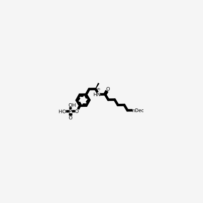 CCCCCCCCCCCCCCCC(=O)N[C@H](C)Cc1ccc(OP(=O)(O)O)cc1